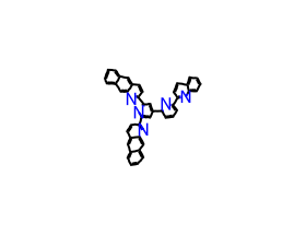 c1cc(-c2cc(-c3ccc4cc5ccccc5cc4n3)nc(-c3ccc4cc5ccccc5cc4n3)c2)nc(-c2ccc3ccccc3n2)c1